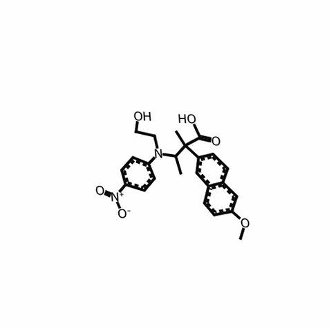 COc1ccc2cc(C(C)(C(=O)O)C(C)N(CCO)c3ccc([N+](=O)[O-])cc3)ccc2c1